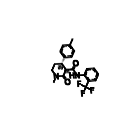 Cc1ccc([C@H]2CCN(C)C(=O)[C@@H]2C(=O)Nc2ccccc2C(F)(F)F)cc1